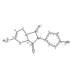 CCCc1ccc(N2C(=O)C3CC=C(C)CC3C2=O)cc1